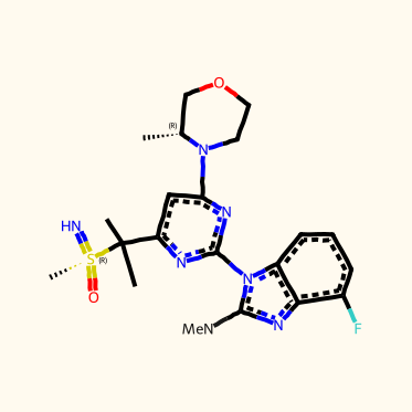 CNc1nc2c(F)cccc2n1-c1nc(N2CCOC[C@H]2C)cc(C(C)(C)[S@](C)(=N)=O)n1